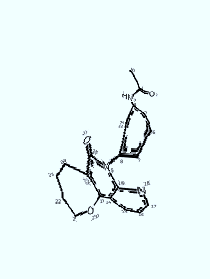 CC(=O)Nc1cccc(-n2c(=O)c3c(c4cccnc42)OCCCC3)c1